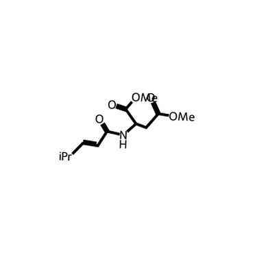 COC(=O)CC(NC(=O)/C=C/C(C)C)C(=O)OC